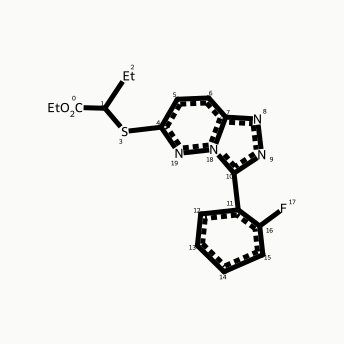 CCOC(=O)C(CC)Sc1ccc2nnc(-c3ccccc3F)n2n1